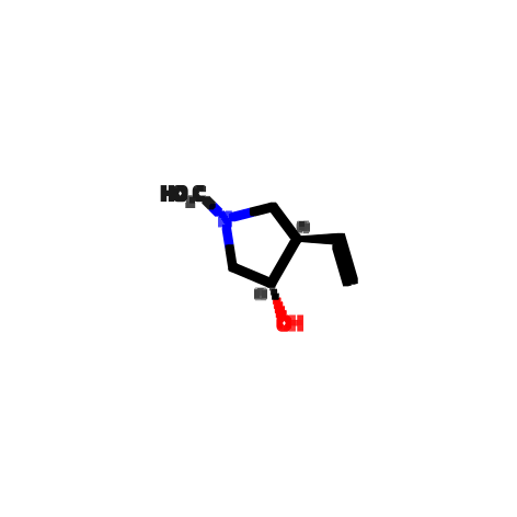 C=C[C@@H]1CN(C(=O)O)C[C@H]1O